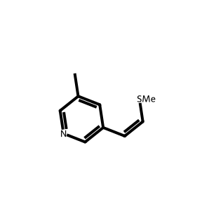 CS/C=C\c1cncc(C)c1